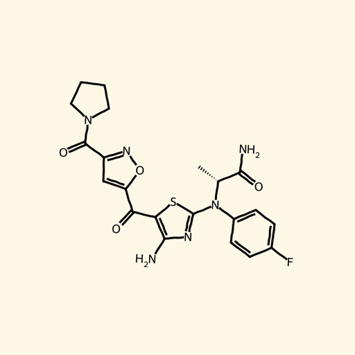 C[C@H](C(N)=O)N(c1ccc(F)cc1)c1nc(N)c(C(=O)c2cc(C(=O)N3CCCC3)no2)s1